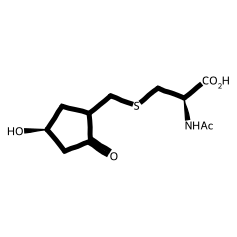 CC(=O)N[C@@H](CSCC1C[C@H](O)CC1=O)C(=O)O